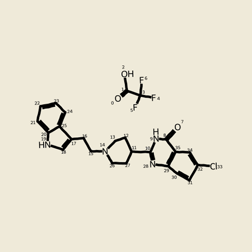 O=C(O)C(F)(F)F.O=c1[nH]c(C2CCN(CCc3c[nH]c4ccccc34)CC2)nc2ccc(Cl)cc12